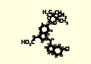 CC1(C)OB(c2ccc3c(CC(=O)O)cn(Cc4csc5ccc(Cl)cc45)c3c2)OC1(C)C